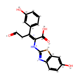 O=CC/C(=C(\Nc1nc2ccc(O)cc2s1)C(=O)O)c1cccc(O)c1